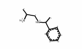 CC(N)CNC(C)c1ccccc1